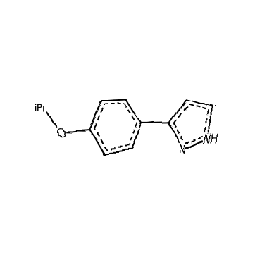 CC(C)Oc1ccc(-c2c[c][nH]n2)cc1